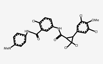 CNc1ccc(NC(=O)c2cc(NC(=O)C3C(c4cc(Cl)c(OC)c(Cl)c4)C3(Cl)Cl)ccc2Cl)cc1